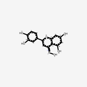 O/N=c1/cc(-c2ccc(O)c(O)c2)oc2cc(O)cc(O)c12